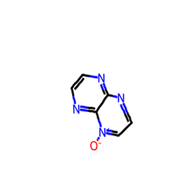 [O-][n+]1ccnc2nccnc21